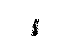 Cn1ccnc1SC1C[C@@H]2CN(S(=O)(=O)c3cnc4c(cnn4C)c3)C[C@@H]2C1